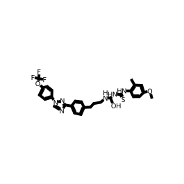 COc1ccc(NC(=S)NC(O)NCCCc2ccc(-c3ncn(-c4ccc(OC(F)(F)F)cc4)n3)cc2)c(C)c1